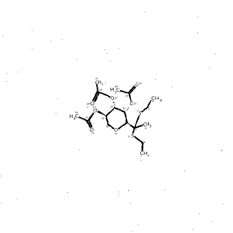 CCSC(C)(SCC)[C@H]1OC[C@@H](OC(C)=O)[C@H](OC(C)=O)[C@@H]1OC(C)=O